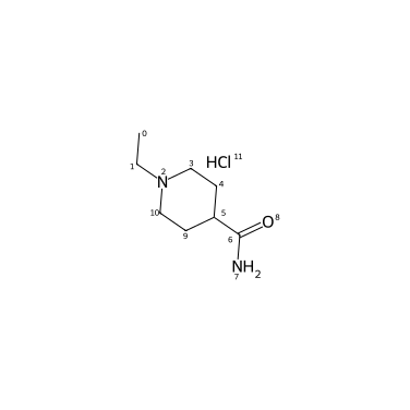 CCN1CCC(C(N)=O)CC1.Cl